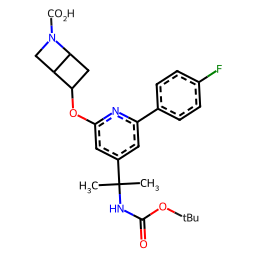 CC(C)(C)OC(=O)NC(C)(C)c1cc(OC2CC3C2CN3C(=O)O)nc(-c2ccc(F)cc2)c1